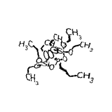 CCCCP(=O)(O[Si](OCC)(OCC)OCC)O[Si](OCC)(OCC)OCC